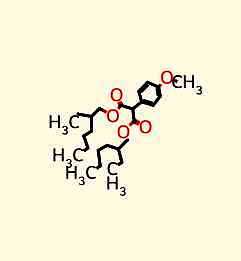 CCCCC(CC)COC(=O)C(C(=O)OCC(CC)CCCC)c1ccc(OC)cc1